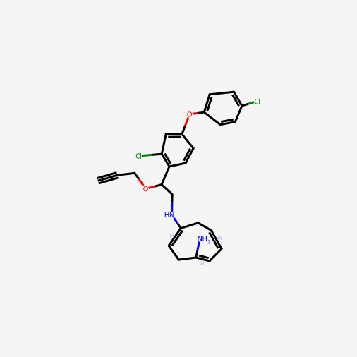 C#CCOC(CN/C1=C/C/C(N)=C/C=C\C1)c1ccc(Oc2ccc(Cl)cc2)cc1Cl